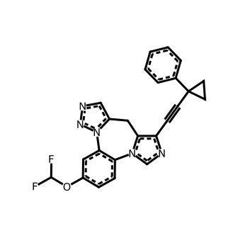 FC(F)Oc1ccc2c(c1)-n1nncc1Cc1c(C#CC3(c4ccccc4)CC3)ncn1-2